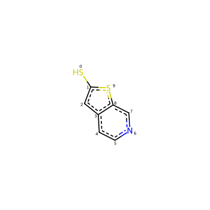 Sc1cc2ccncc2s1